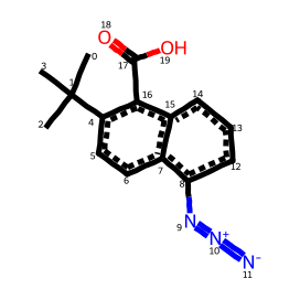 CC(C)(C)c1ccc2c(N=[N+]=[N-])cccc2c1C(=O)O